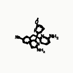 COc1cccc(C(Cc2cccc(C#N)c2)(c2cccc(N)n2)c2cccc(N)n2)n1